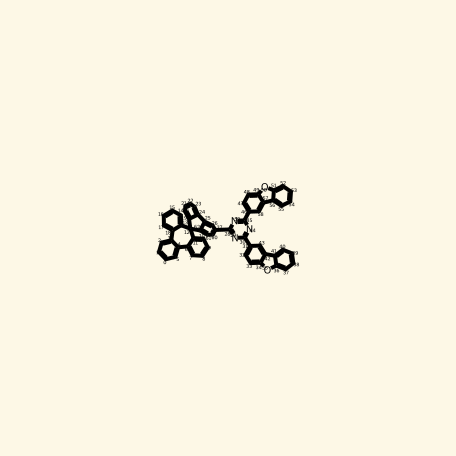 c1ccc2c(c1)-c1ccccc1C1(c3ccccc3-2)c2ccccc2-c2cc(-c3nc(-c4ccc5oc6ccccc6c5c4)nc(-c4ccc5oc6ccccc6c5c4)n3)ccc21